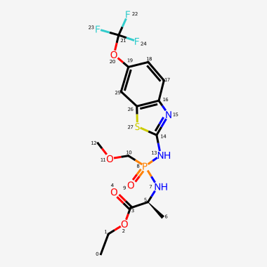 CCOC(=O)[C@H](C)NP(=O)(COC)Nc1nc2ccc(OC(F)(F)F)cc2s1